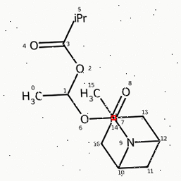 CC(OC(=O)C(C)C)OC(=O)N1C2CC1CN(C)C2